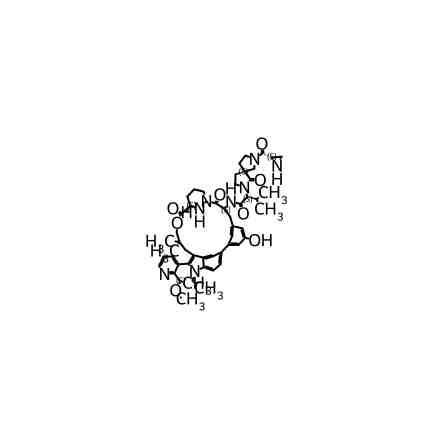 CCn1c(-c2cccnc2[C@H](C)OC)c2c3cc(ccc31)-c1cc(O)cc(c1)C[C@H](NC(=O)[C@H](C(C)C)N1CC[C@]3(CCN(C(=O)[C@@H]4CN4)C3)C1=O)C(=O)N1CCC[C@H](N1)C(=O)OCC(C)(C)C2